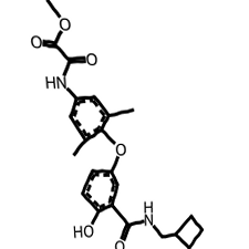 COC(=O)C(=O)Nc1cc(C)c(Oc2ccc(O)c(C(=O)NCC3CCC3)c2)c(C)c1